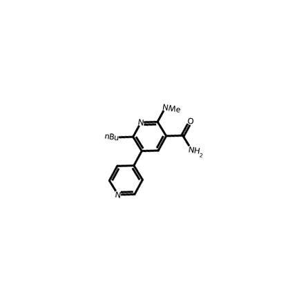 CCCCc1nc(NC)c(C(N)=O)cc1-c1ccncc1